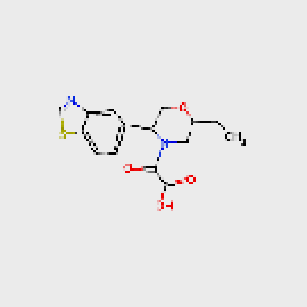 CCC1CN(C(=O)C(=O)O)C(c2ccc3scnc3c2)CO1